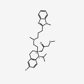 COCC(=O)C[C@]1(CCN(C)CCCc2nc3ccccc3n2C)CCc2cc(F)ccc2[C@@H]1C(C)C